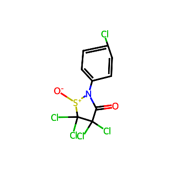 O=C1N(c2ccc(Cl)cc2)[S+]([O-])C(Cl)(Cl)C1(Cl)Cl